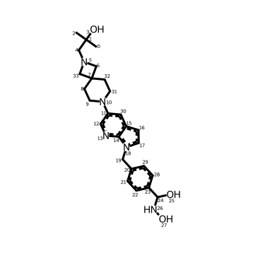 CC(C)(O)CN1CC2(CCN(c3cnc4c(ccn4Cc4ccc(C(O)NO)cc4)c3)CC2)C1